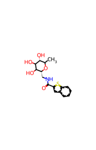 CC1O[C@H](CNC(=O)c2cc3ccccc3s2)C(O)C(O)[C@@H]1O